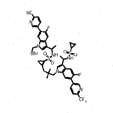 CC(NS(=O)(=O)C1CC1)c1cn(CC(C)(C)CC2CC2S(=O)(=O)NC(C)c2cn(CC(C)(C)C)c3cc(-c4ccc(C#N)nc4)c(F)cc23)c2cc(-c3ccc(C(F)(F)F)nc3)c(F)cc12